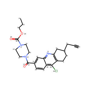 C#CCC1CCc2c(nc3cc(C(=O)N4CCN(C(=O)OCCC)CC4)ccc3c2Cl)C1